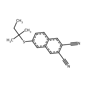 CCC(C)(C)Sc1ccc2cc(C#N)c(C#N)cc2c1